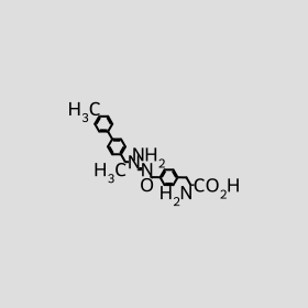 Cc1ccc(-c2ccc(C(C)N(N)/C=N/C(=O)c3ccc(C[C@H](N)C(=O)O)cc3)cc2)cc1